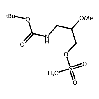 COC(CNC(=O)OC(C)(C)C)COS(C)(=O)=O